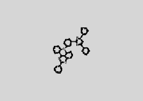 c1ccc(-c2cc(-c3ccccc3)nc(-c3cccc(N4c5ccccc5-c5nc(-c6ccccc6)nc6cccc4c56)c3)n2)cc1